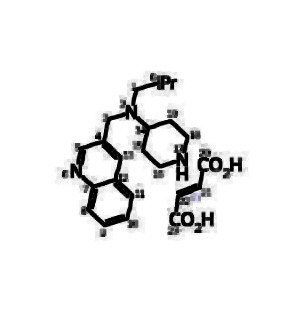 CC(C)CN(Cc1cnc2ccccc2c1)C1CCNCC1.O=C(O)/C=C/C(=O)O